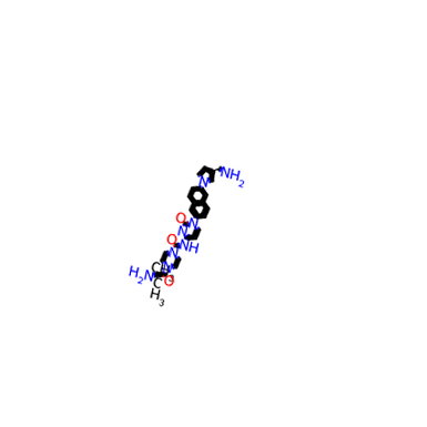 CC(C)(N)C(=O)N1CCN(C(=O)Nc2ccn(-c3ccc4c(c3)CCC(N3CC[C@H](CN)C3)C4)c(=O)n2)CC1